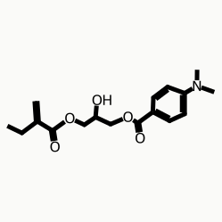 C=C(CC)C(=O)OCC(O)COC(=O)c1ccc(N(C)C)cc1